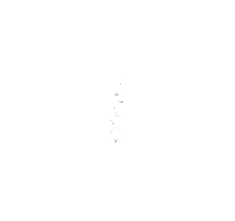 CCCCCCCCC1[CH]CCC1